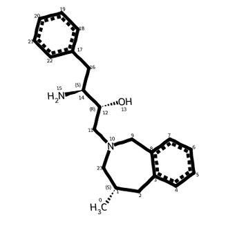 C[C@H]1Cc2ccccc2CN(C[C@@H](O)[C@@H](N)Cc2ccccc2)C1